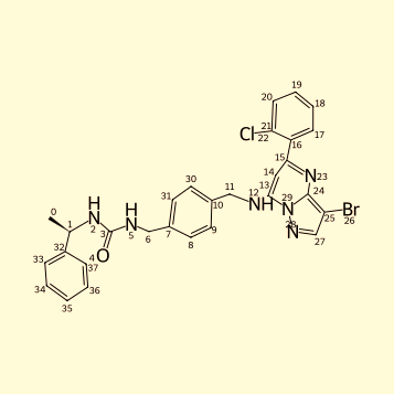 C[C@@H](NC(=O)NCc1ccc(CNc2cc(-c3ccccc3Cl)nc3c(Br)cnn23)cc1)c1ccccc1